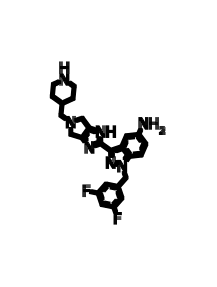 Nc1ccc2c(c1)c(-c1nc3c([nH]1)CN(CC1CCNCC1)C3)nn2Cc1cc(F)cc(F)c1